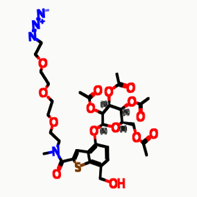 CC(=O)OC[C@H]1O[C@@H](Oc2ccc(CO)c3sc(C(=O)N(C)CCOCCOCCOCCN=[N+]=[N-])cc23)C(OC(C)=O)[C@@H](OC(C)=O)[C@H]1OC(C)=O